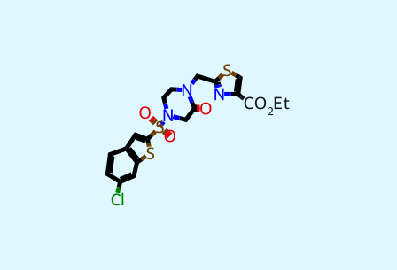 CCOC(=O)c1csc(CN2CCN(S(=O)(=O)c3cc4ccc(Cl)cc4s3)CC2=O)n1